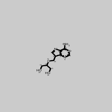 Nc1ncnc2c1N=CC2COC(CO)CO